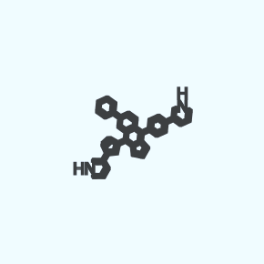 C1=CC2=C(c3ccc(C4=CC=CNC4)cc3)C3=C(CC(C4=CCCC=C4)C=C3)C(C3=C=C(C4=CNCC=C4)C#C3)C2C=1